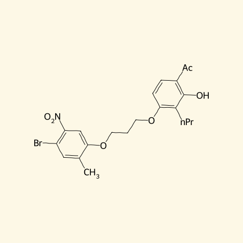 CCCc1c(OCCCOc2cc([N+](=O)[O-])c(Br)cc2C)ccc(C(C)=O)c1O